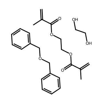 C=C(C)C(=O)OCCOC(=O)C(=C)C.OCCO.c1ccc(COCc2ccccc2)cc1